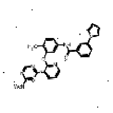 CNc1ncnc(-c2cccnc2Oc2cc(NC(=O)c3cccc(-n4cccc4)c3)ccc2C)n1